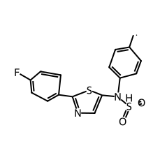 [CH2]c1ccc(N(c2cnc(-c3ccc(F)cc3)s2)[SH](=O)=O)cc1